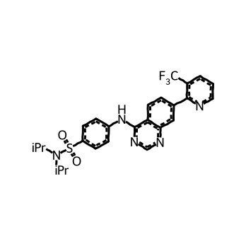 CC(C)N(C(C)C)S(=O)(=O)c1ccc(Nc2ncnc3cc(-c4ncccc4C(F)(F)F)ccc23)cc1